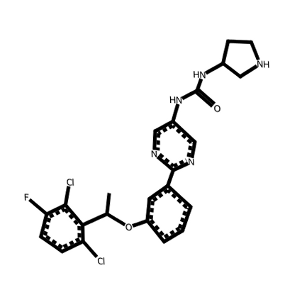 CC(Oc1cccc(-c2ncc(NC(=O)NC3CCNC3)cn2)c1)c1c(Cl)ccc(F)c1Cl